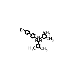 Cc1cc(C)cc(-c2nc(-c3ccc(-c4ccc(Br)cc4)cc3)nc(-c3cc(C)cc(C)c3)n2)c1